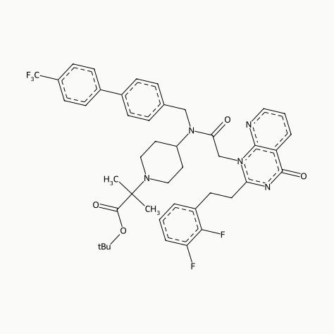 CC(C)(C)OC(=O)C(C)(C)N1CCC(N(Cc2ccc(-c3ccc(C(F)(F)F)cc3)cc2)C(=O)Cn2c(CCc3cccc(F)c3F)nc(=O)c3cccnc32)CC1